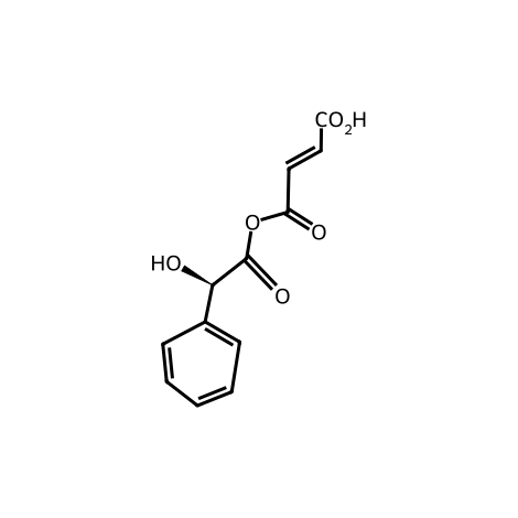 O=C(O)/C=C/C(=O)OC(=O)[C@H](O)c1ccccc1